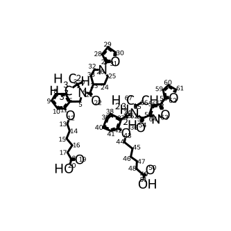 [2H]C(C)(C)N(Cc1ccccc1OCCCCCC(=O)O)C(=O)C1CCN(c2ccco2)CC1.[2H]C([2H])(c1ccccc1OCCCCCC(=O)O)N(C(=O)c1cc(-c2ccco2)on1)C(C)C